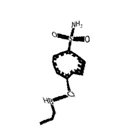 CCBOc1ccc(S(N)(=O)=O)cc1